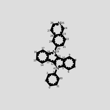 c1ccc(-n2c3ccccc3c3c2c2ccccc2n3-c2ccc3cnccc3c2)cc1